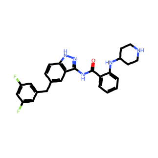 O=C(Nc1n[nH]c2ccc(Cc3cc(F)cc(F)c3)cc12)c1ccccc1NC1CCNCC1